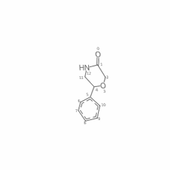 O=C1COC(c2ccccc2)CN1